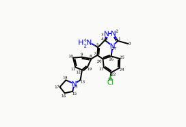 Cc1nnc2c(N)c(-c3cccc(CN4CCCC4)c3)c3cc(Cl)ccc3n12